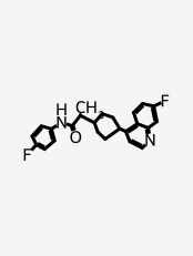 C[C@@H](C(=O)Nc1ccc(F)cc1)C1CCC(c2ccnc3cc(F)ccc23)CC1